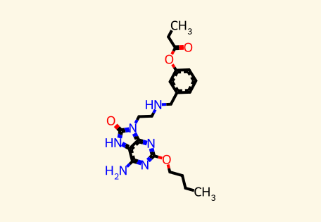 CCCCOc1nc(N)c2[nH]c(=O)n(CCNCc3cccc(OC(=O)CC)c3)c2n1